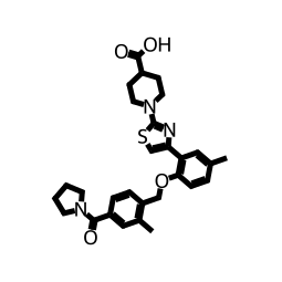 Cc1ccc(OCc2ccc(C(=O)N3CCCC3)cc2C)c(-c2csc(N3CCC(C(=O)O)CC3)n2)c1